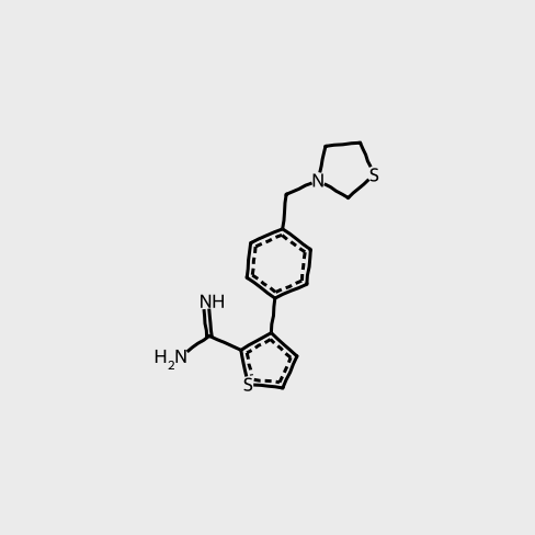 N=C(N)c1sccc1-c1ccc(CN2CCSC2)cc1